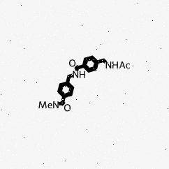 CNC(=O)c1ccc(CNC(=O)c2ccc(CNC(C)=O)cc2)cc1